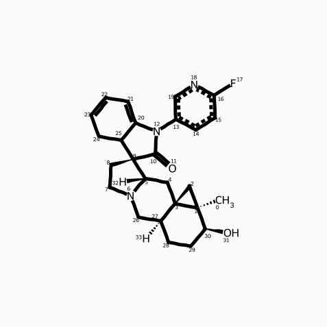 C[C@@]12C[C@@]13C[C@@H]1N(CC[C@@]14C(=O)N(c1ccc(F)nc1)C1=CC=CCC14)C[C@@H]3CC[C@@H]2O